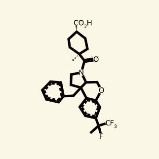 CC(F)(c1ccc2c(c1)OCC1N(C(=O)[C@]3(C)CC[C@@H](C(=O)O)CC3)CCC21Cc1ccccc1)C(F)(F)F